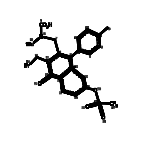 Cc1ccc(-c2c(CN(C(=O)O)C(C)(C)C)n(CC(C)C)c(=O)c3ccc(OS(=O)(=O)C(F)(F)F)cc23)cc1